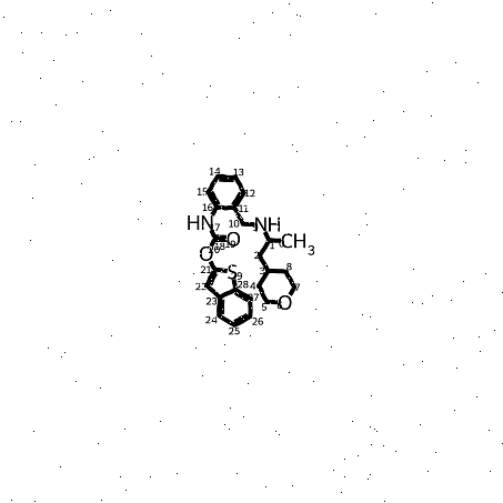 CC(CC1CCOCC1)NCc1ccccc1NC(=O)Oc1cc2ccccc2s1